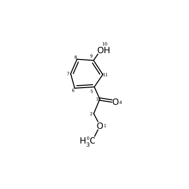 COCC(=O)c1cccc(O)c1